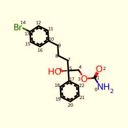 NC(=O)OC[C@@](O)(CCCc1ccc(Br)cc1)c1ccccc1